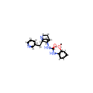 COc1ccccc1NC(=O)NC1C2CCN(CC2)C1Cc1cccnc1